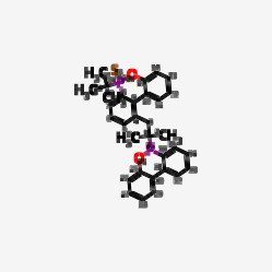 CC(C)(Cc1cccc2c1-c1ccccc1OP2(=S)C(C)(C)C)P1Oc2ccccc2-c2ccccc21